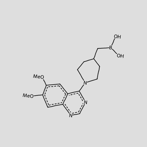 COc1cc2ncnc(N3CCC(CB(O)O)CC3)c2cc1OC